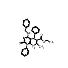 CCOC(=O)C1=C(C)Nc2c(c(NCc3ccccc3)nc(=O)n2-c2ccccc2)C1c1ccccc1